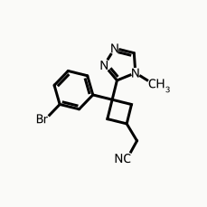 Cn1cnnc1C1(c2cccc(Br)c2)CC(CC#N)C1